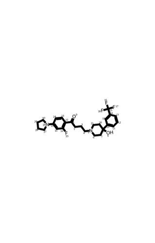 O=C(CCCN1CCC(O)(c2cccc(C(F)(F)F)c2)CC1)c1ccc(N2CCCC2)cc1F